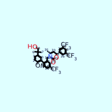 COc1ccc(C(C)(C)CO)cc1-c1ccc(C(F)(F)F)cc1CN1C(=O)O[C@H](c2cc(C(F)(F)F)cc(C(F)(F)F)c2)C[C@@H]1C